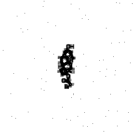 Cc1cc(O)cc2c1[C@H]1CC[C@]3(C)[C@@H](OC(=O)CBr)CC[C@H]3[C@@H]1CC2